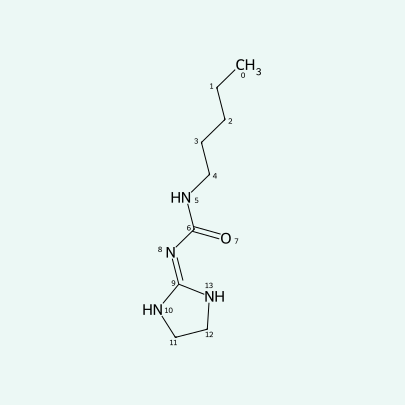 CCCCCNC(=O)N=C1NCCN1